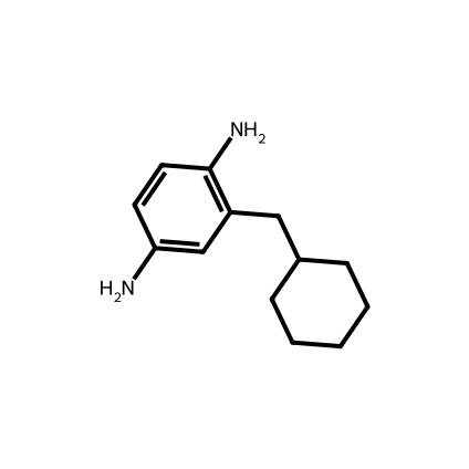 Nc1ccc(N)c(CC2CCCCC2)c1